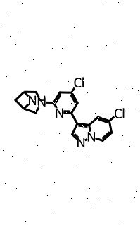 Clc1cc(-c2cnn3ccc(Cl)cc23)nc(N2CC3CC(C2)N3)c1